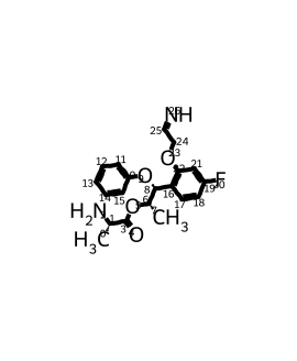 C[C@H](N)C(=O)O[C@@H](C)[C@H](Oc1ccccc1)c1ccc(F)cc1OCC=N